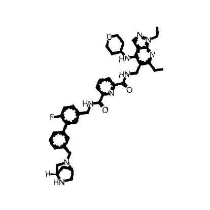 CCc1nc2c(cnn2CC)c(NC2CCOCC2)c1CNC(=O)c1cccc(C(=O)NCc2ccc(F)c(-c3cccc(CN4C[C@@H]5CC4CN5)c3)c2)n1